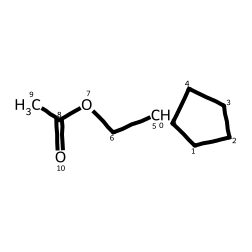 C1CCCC1.CCOC(C)=O